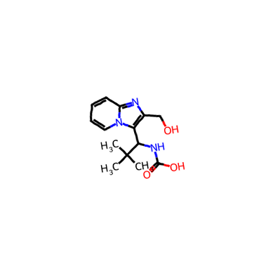 CC(C)(C)C(NC(=O)O)c1c(CO)nc2ccccn12